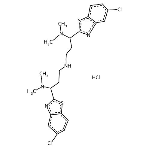 CN(C)C(CCNCCC(c1nc2cc(Cl)ccc2s1)N(C)C)c1nc2cc(Cl)ccc2s1.Cl